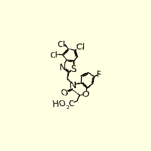 O=C(O)CC1Oc2cc(F)ccc2N(Cc2nc3c(Cl)c(Cl)c(Cl)cc3s2)C1=O